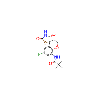 CC(C)(C)C(=O)Nc1cc(F)cc2c1OCCC21SC(=O)NC1=O